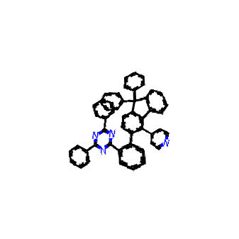 c1ccc(-c2nc(-c3ccccc3)nc(-c3ccccc3-c3ccc4c(c3-c3ccncc3)-c3ccccc3C4(c3ccccc3)c3ccccc3)n2)cc1